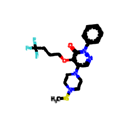 CSN1CCN(c2cnn(-c3ccccc3)c(=O)c2OCCCC(F)(F)F)CC1